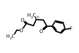 CCOC(=O)C[C@@H](C)CC(=O)c1ccc(F)cc1